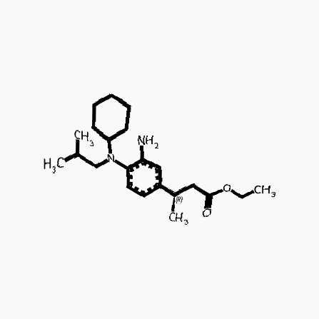 CCOC(=O)C[C@@H](C)c1ccc(N(CC(C)C)C2CCCCC2)c(N)c1